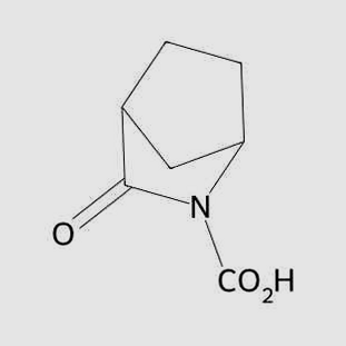 O=C(O)N1C(=O)C2CCC1C2